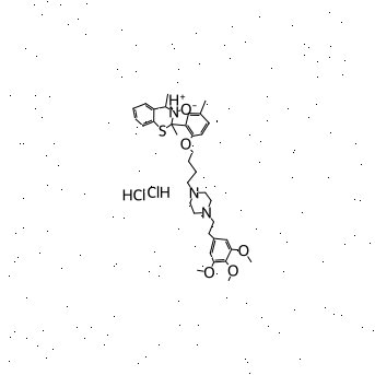 COc1cc(CCN2CCN(CCCCOc3ccc(C)cc3C3(C)Sc4ccccc4C(C)[NH+]3[O-])CC2)cc(OC)c1OC.Cl.Cl